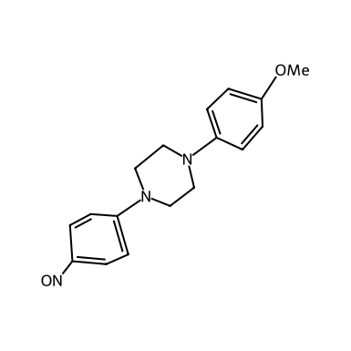 COc1ccc(N2CCN(c3ccc(N=O)cc3)CC2)cc1